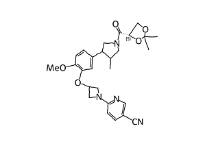 COc1ccc(C2CN(C(=O)[C@@H]3COC(C)(C)O3)CC2C)cc1OC1CN(c2ccc(C#N)cn2)C1